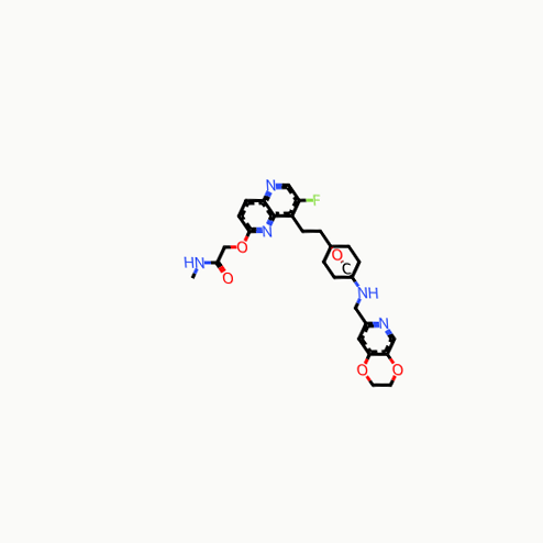 CNC(=O)COc1ccc2ncc(F)c(CCC34CCC(NCc5cc6c(cn5)OCCO6)(CC3)CO4)c2n1